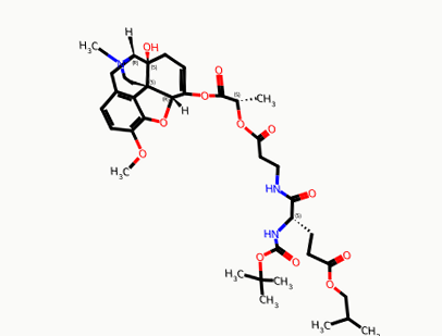 COc1ccc2c3c1O[C@H]1C(OC(=O)[C@H](C)OC(=O)CCNC(=O)[C@H](CCC(=O)OCC(C)C)NC(=O)OC(C)(C)C)=CC[C@@]4(O)[C@@H](C2)N(C)CC[C@]314